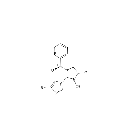 C[C@@H](c1ccccc1)N1CC(=O)N(O)C1c1csc(Br)c1